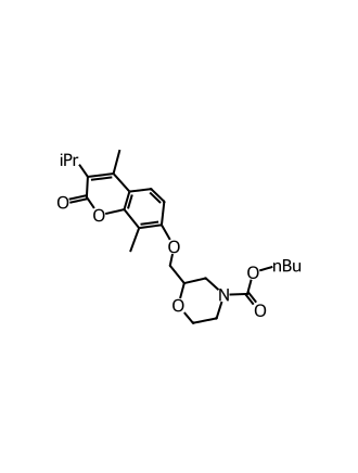 CCCCOC(=O)N1CCOC(COc2ccc3c(C)c(C(C)C)c(=O)oc3c2C)C1